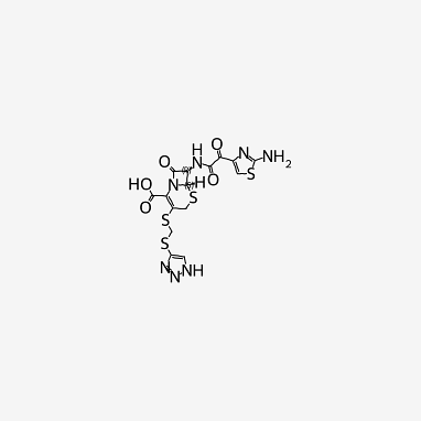 Nc1nc(C(=O)C(=O)N[C@@H]2C(=O)N3C(C(=O)O)=C(SCSc4c[nH]nn4)CS[C@@H]23)cs1